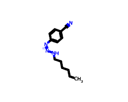 CCCCCCN/N=N\c1ccc(C#N)cc1